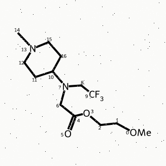 COCCOC(=O)CN(CC(F)(F)F)C1CCN(C)CC1